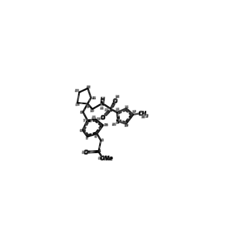 COC(=O)Cc1ccc(CC2(CNS(=O)(=O)c3cc(C)cs3)CCCC2)cc1